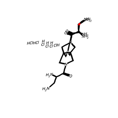 Cl.Cl.Cl.Cl.Cl.Cl.NCC(N)C(=O)N1CC23CN(C(=O)C(N)CN)CC2(C1)CN(C(=O)C(N)CN)C3